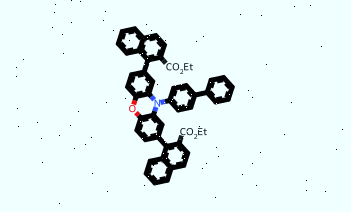 CCOC(=O)c1ccc2ccccc2c1-c1ccc2c(c1)N(c1ccc(-c3ccccc3)cc1)c1cc(-c3c(C(=O)OCC)ccc4ccccc34)ccc1O2